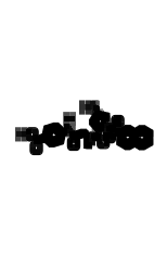 CN(CC(=O)Nc1ccc(C(=O)O)cc1)C(=O)[C@@H]1C[C@@H](S)CN1S(=O)(=O)c1ccc2ccccc2c1